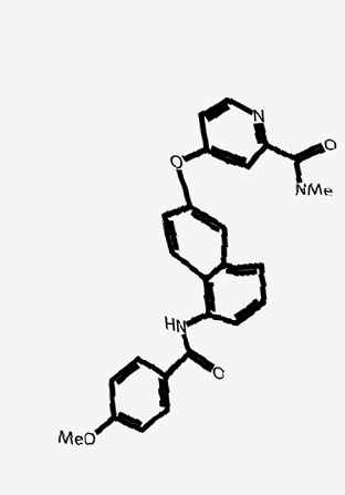 CNC(=O)c1cc(Oc2ccc3c(NC(=O)c4ccc(OC)cc4)cccc3c2)ccn1